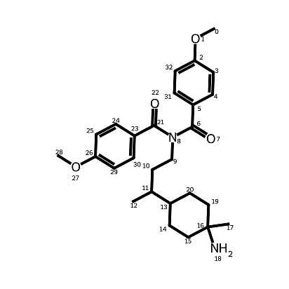 COc1ccc(C(=O)N(CCC(C)C2CCC(C)(N)CC2)C(=O)c2ccc(OC)cc2)cc1